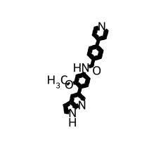 COc1cc(NC(=O)c2ccc(-c3ccncc3)cc2)ccc1-c1cnc2[nH]ccc2c1